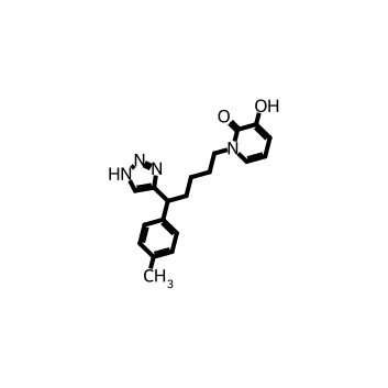 Cc1ccc(C(CCCCn2cccc(O)c2=O)c2c[nH]nn2)cc1